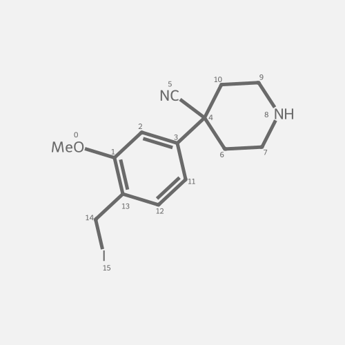 COc1cc(C2(C#N)CCNCC2)ccc1CI